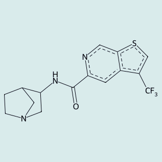 O=C(NC1CN2CCC1C2)c1cc2c(C(F)(F)F)csc2cn1